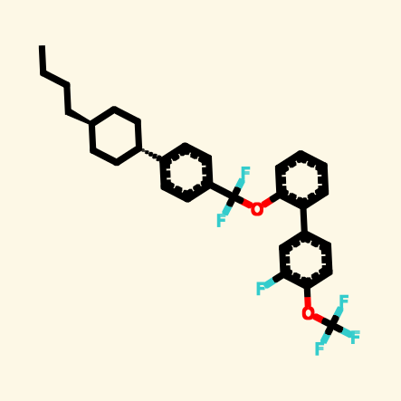 CCCC[C@H]1CC[C@H](c2ccc(C(F)(F)Oc3ccccc3-c3ccc(OC(F)(F)F)c(F)c3)cc2)CC1